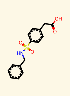 O=C(O)Cc1ccc(S(=O)(=O)NCc2ccccc2)cc1